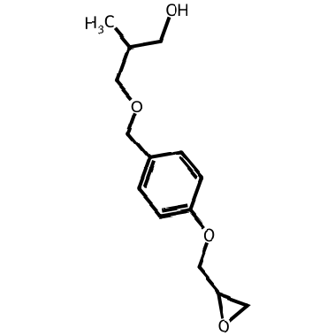 CC(CO)COCc1ccc(OCC2CO2)cc1